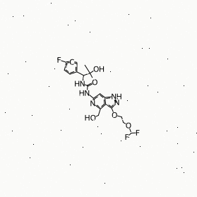 CC(C)(O)C(NC(=O)Nc1cc2[nH]nc(OCCOC(F)F)c2c(CO)n1)c1ccc(F)cc1